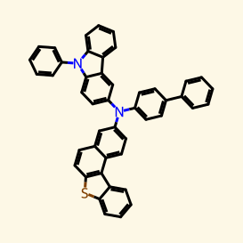 c1ccc(-c2ccc(N(c3ccc4c(ccc5sc6ccccc6c54)c3)c3ccc4c(c3)c3ccccc3n4-c3ccccc3)cc2)cc1